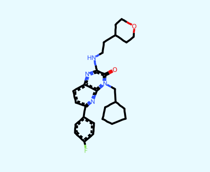 O=c1c(NCCC2CCOCC2)nc2ccc(-c3ccc(F)cc3)nc2n1CC1CCCCC1